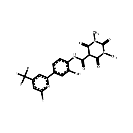 CN1C(=O)C(C(=O)Nc2ccc(-c3cc(C(F)(F)F)cc(Cl)n3)cc2O)C(=O)N(C)C1=S